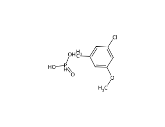 COc1cc(C)cc(Cl)c1.O=[PH](O)O